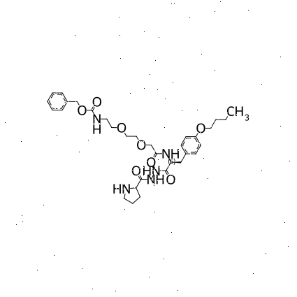 CCCCOc1ccc(C[C@H](NC(=O)COCCOCCNC(=O)OCc2ccccc2)C(=O)NNC(=O)C2CCCN2)cc1